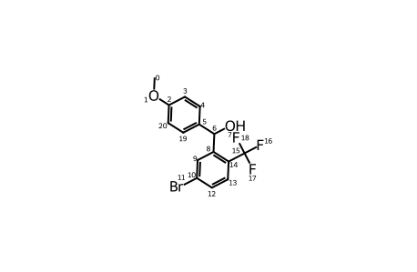 COc1ccc(C(O)c2cc(Br)ccc2C(F)(F)F)cc1